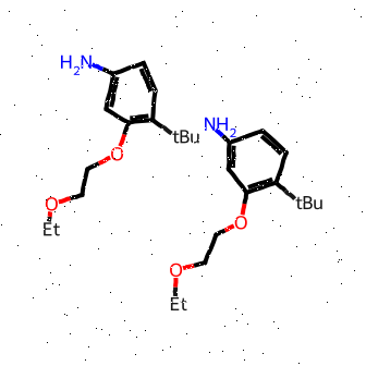 CCOCCOc1cc(N)ccc1C(C)(C)C.CCOCCOc1cc(N)ccc1C(C)(C)C